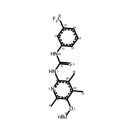 CCCCOc1c(C)nc(NC(=S)Nc2cccc(C(F)(F)F)c2)c(C)c1C